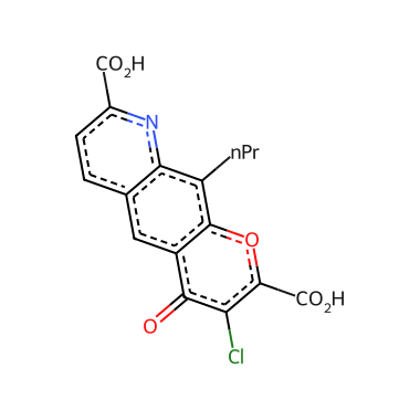 CCCc1c2nc(C(=O)O)ccc2cc2c(=O)c(Cl)c(C(=O)O)oc12